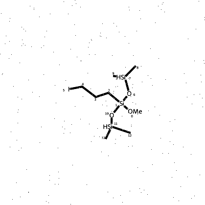 CO[Si](CCCI)(O[SiH](C)C)O[SiH](C)C